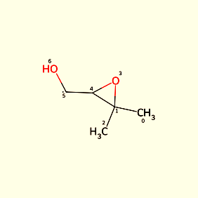 CC1(C)OC1[CH]O